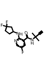 C#CC(C)(C)NC(=O)c1cc(F)cnc1NC1CCC(F)(F)C1